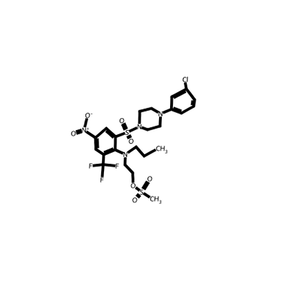 CCCN(CCOS(C)(=O)=O)c1c(C(F)(F)F)cc([N+](=O)[O-])cc1S(=O)(=O)N1CCN(c2cccc(Cl)c2)CC1